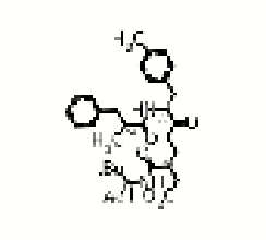 CC(=O)[C@@H](NC(=O)[C@@H](CCC(=O)[C@H](Cc1ccc(C)cc1)NC(=O)[C@@H](C)Cc1ccccc1)CC(=O)O)C(C)(C)C